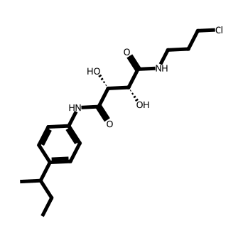 CCC(C)c1ccc(NC(=O)[C@H](O)[C@@H](O)C(=O)NCCCCl)cc1